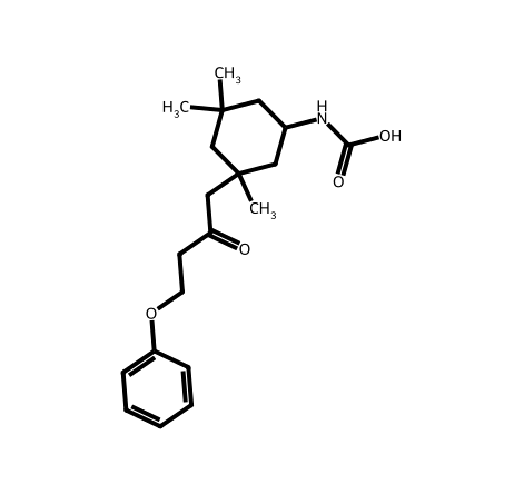 CC1(C)CC(NC(=O)O)CC(C)(CC(=O)CCOc2ccccc2)C1